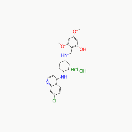 COc1cc(O)c(CN[C@H]2CC[C@@H](Nc3ccnc4cc(Cl)ccc34)CC2)c(OC)c1.Cl.Cl